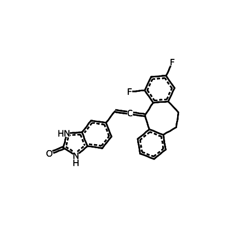 O=c1[nH]c2ccc(C=C=C3c4ccccc4CCc4cc(F)cc(F)c43)cc2[nH]1